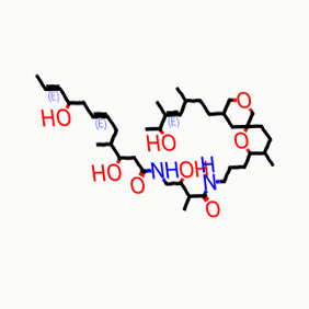 C/C=C/C(O)C/C=C/CC(C)C(O)CC(=O)NCC(O)C(C)C(=O)NCCCC1OC2(CCC1C)COCC(CCC(C)/C=C(\C)C(C)O)C2